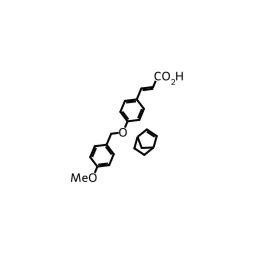 C1=CC2CCC1C2.COc1ccc(COc2ccc(C=CC(=O)O)cc2)cc1